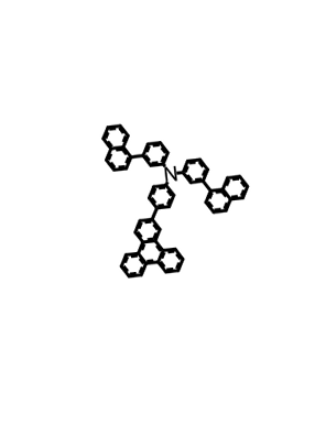 c1cc(-c2cccc3ccccc23)cc(N(c2ccc(-c3ccc4c5ccccc5c5ccccc5c4c3)cc2)c2cccc(-c3cccc4ccccc34)c2)c1